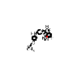 COCCOc1ccc(NC2CCN(CC(O)(Cn3cncn3)c3ccc(F)cc3F)CC2)cc1